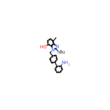 CCCCc1nc2c(C)ccc(O)c2n1Cc1ccc(-c2ccccc2N)cc1